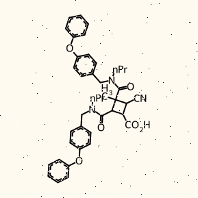 CCCN(Cc1ccc(Oc2ccccc2)cc1)C(=O)C1C(C(=O)O)C(C#N)C1(C)C(=O)N(CCC)Cc1ccc(Oc2ccccc2)cc1